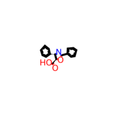 O=C(O)[C@@H]1OC(c2ccccc2)=N[C@H]1c1ccccc1